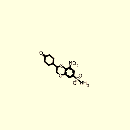 NS(=O)(=O)c1cc2c(c([N+](=O)[O-])c1)SC(C1CCC(=O)CC1)CO2